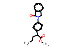 CCCC(C(=O)OC)c1ccc(N2Cc3ccccc3C2=O)cc1